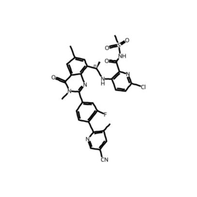 Cc1cc([C@@H](C)Nc2ccc(Cl)nc2C(=O)NS(C)(=O)=O)c2nc(-c3ccc(-c4ncc(C#N)cc4C)c(F)c3)n(C)c(=O)c2c1